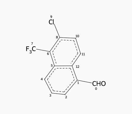 O=Cc1cccc2c(C(F)(F)F)c(Cl)ccc12